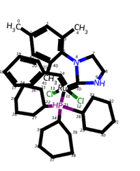 Cc1cc(C)c(N2CCN[C]2=[Ru]([Cl])([Cl])(=[CH]c2ccccc2)[PH](C2CCCCC2)(C2CCCCC2)C2CCCCC2)c(C)c1